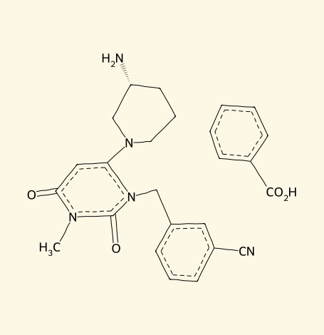 Cn1c(=O)cc(N2CCC[C@@H](N)C2)n(Cc2cccc(C#N)c2)c1=O.O=C(O)c1ccccc1